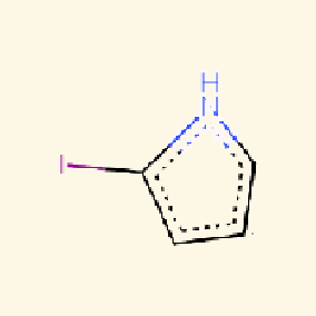 Ic1c[c]c[nH]1